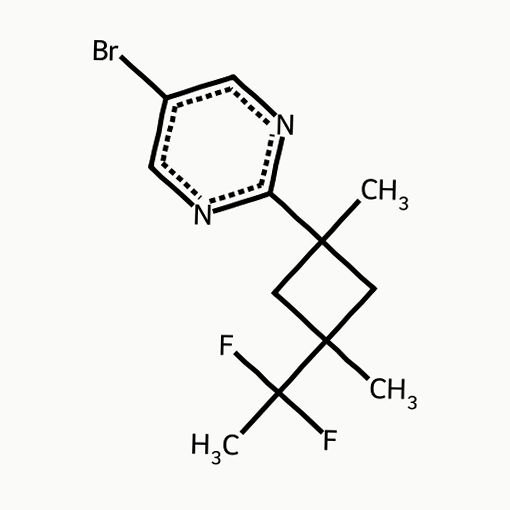 CC1(c2ncc(Br)cn2)CC(C)(C(C)(F)F)C1